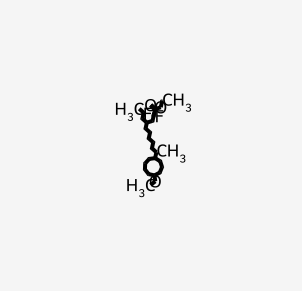 CCCC(CCCCCC(C)C1CCCCC(OC)CCC1)CC(F)(F)C(=O)OCC